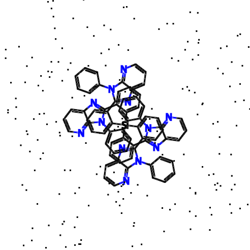 c1ccc(-n2c(-c3ccccc3[Si](c3ccccc3-c3nc4cccnc4n3-c3ccccc3)(c3ccccc3-c3nc4cccnc4n3-c3ccccc3)c3ccccc3-c3nc4cccnc4n3-c3ccccc3)nc3cccnc32)cc1